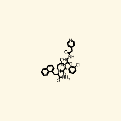 C[C@@H]1CCN(C(Cc2cccc3ccccc23)C(N)=O)C(=O)[C@@H](c2cccc(Cl)c2)N1C(=O)CNC(=O)Cc1ccncc1